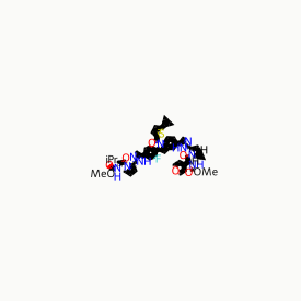 COC(=O)N[C@H](C(=O)N1CCC[C@H]1c1ncc(-c2cc(F)c3c(c2)OC(c2ccc(C4CC4)s2)n2c-3cc3cc(-c4cnc([C@@H]5C[C@H]6C[C@H]6N5C(=O)[C@@H](NC(=O)OC)C5CCOCC5)[nH]4)ccc32)[nH]1)C(C)C